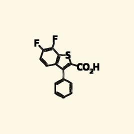 O=C(O)c1sc2c(F)c(F)ccc2c1-c1ccccc1